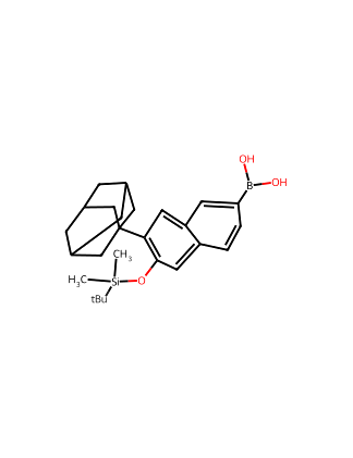 CC(C)(C)[Si](C)(C)Oc1cc2ccc(B(O)O)cc2cc1C12CC3CC(CC(C3)C1)C2